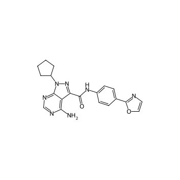 Nc1ncnc2c1c(C(=O)Nc1ccc(-c3ncco3)cc1)nn2C1CCCC1